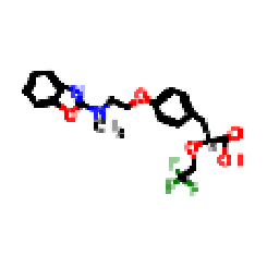 CN(CCOc1ccc(C[C@H](OCC(F)(F)F)C(=O)O)cc1)c1nc2ccccc2o1